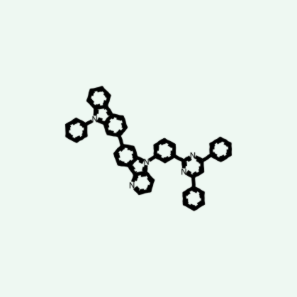 c1ccc(-c2cc(-c3ccccc3)nc(-c3cccc(-n4c5cc(-c6ccc7c8ccccc8n(-c8ccccc8)c7c6)ccc5c5ncccc54)c3)n2)cc1